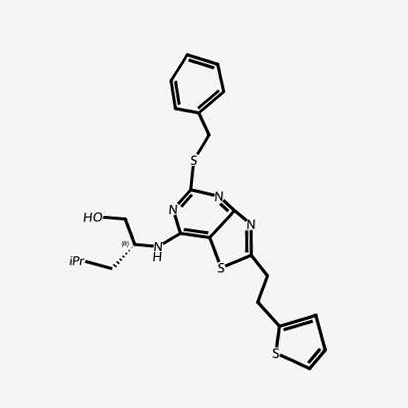 CC(C)C[C@H](CO)Nc1nc(SCc2ccccc2)nc2nc(CCc3cccs3)sc12